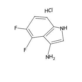 Cl.Nc1c[nH]c2ccc(F)c(F)c12